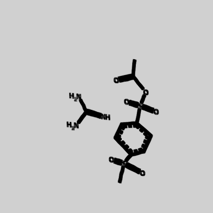 CC(=O)OS(=O)(=O)c1ccc(S(C)(=O)=O)cc1.N=C(N)N